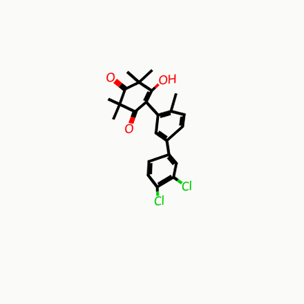 Cc1ccc(-c2ccc(Cl)c(Cl)c2)cc1C1=C(O)C(C)(C)C(=O)C(C)(C)C1=O